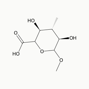 COC1OC(C(=O)O)[C@@H](O)[C@H](C)[C@H]1O